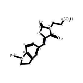 CCN1CCc2cc(/C=C3\SC(=S)N(CCS(=O)(=O)O)C3=O)ccc21